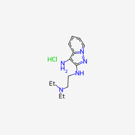 CCN(CC)CCNc1nn2ccccc2c1N.Cl